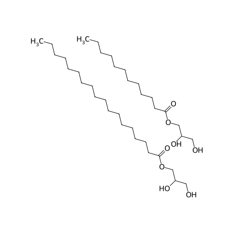 CCCCCCCCCCCC(=O)OCC(O)CO.CCCCCCCCCCCCCCCCCC(=O)OCC(O)CO